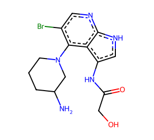 NC1CCCN(c2c(Br)cnc3[nH]cc(NC(=O)CO)c23)C1